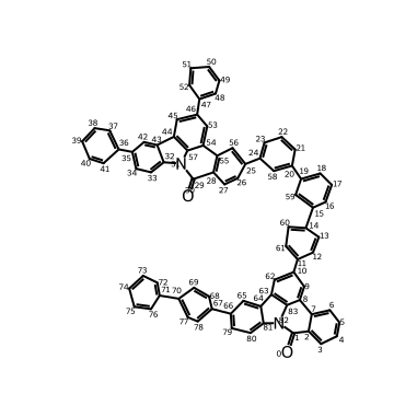 O=c1c2ccccc2c2cc(-c3ccc(-c4cccc(-c5cccc(-c6ccc7c(=O)n8c9ccc(-c%10ccccc%10)cc9c9cc(-c%10ccccc%10)cc(c7c6)c98)c5)c4)cc3)cc3c4cc(-c5ccc(-c6ccccc6)cc5)ccc4n1c23